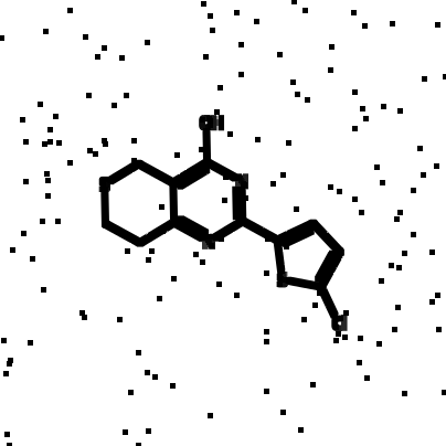 Oc1nc(-c2ccc(Cl)s2)nc2c1CSCC2